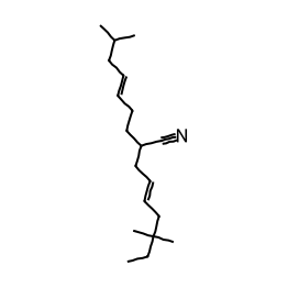 CCC(C)(C)C/C=C/CC(C#N)CC/C=C/CC(C)C